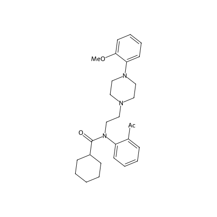 COc1ccccc1N1CCN(CCN(C(=O)C2CCCCC2)c2ccccc2C(C)=O)CC1